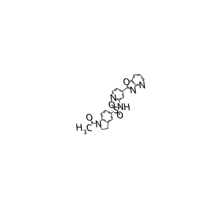 CC(=O)N1CCc2cc(S(=O)(=O)Nc3cc(-c4nc5ncccc5o4)ccn3)ccc21